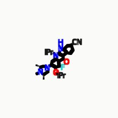 CC(C)Oc1c(N2C[C@@H](C)N(C)[C@@H](C)C2)cc2c(c1F)c(=O)c1c3ccc(C#N)cc3[nH]c1n2C(C)C